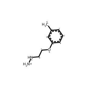 Cc1cccc(OCCNN)c1